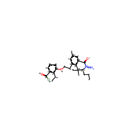 CCC[C@@H]1N(N)C(=O)c2cc(C)cc(CCOc3cccc(C(=O)Cl)c3CC)c2C1(C)C